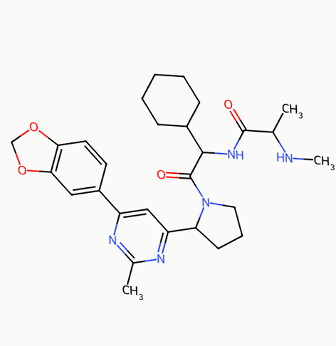 CNC(C)C(=O)NC(C(=O)N1CCCC1c1cc(-c2ccc3c(c2)OCO3)nc(C)n1)C1CCCCC1